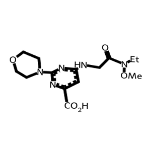 CCN(OC)C(=O)CNc1cc(C(=O)O)nc(N2CCOCC2)n1